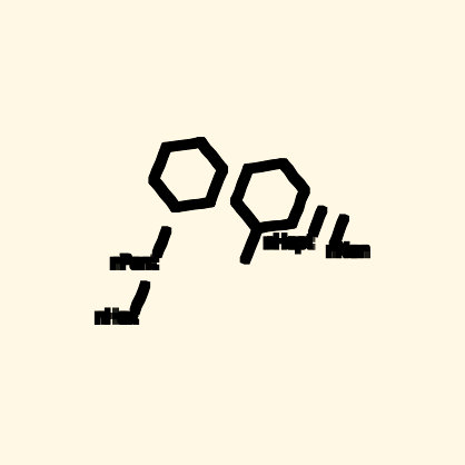 C1CCCCC1.CC1CCCCC1.CCCCCC.CCCCCCC.CCCCCCCC.CCCCCCCCCC